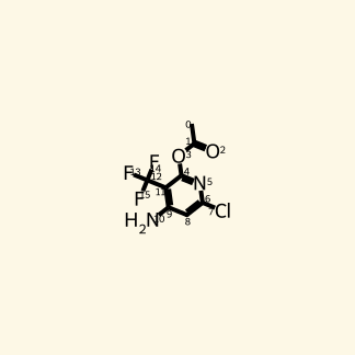 CC(=O)Oc1nc(Cl)cc(N)c1C(F)(F)F